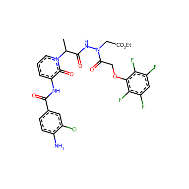 CCOC(=O)CN(NC(=O)C(C)n1cccc(NC(=O)c2ccc(N)c(Cl)c2)c1=O)C(=O)COc1c(F)c(F)cc(F)c1F